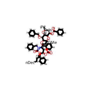 CCCCCCCCCCCCCCC1OC(=O)O[C@H]1[C@H](CCC1(OC)OC(COC(=O)c2ccccc2)[C@@H](O[SiH](C(C)C)C(C)C)[C@@H](OCc2ccccc2)C1OCc1ccccc1)N(Cc1ccccc1)C(=O)OCc1ccccc1